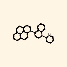 c1ccc(-c2ccc(-c3ccc4ccc5cccc6ccc3c4c56)c3ccccc23)nc1